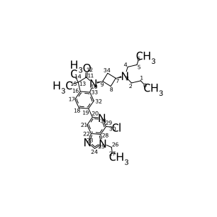 CCCN(CCC)[C@H]1C[C@@H](N2C(=O)C(C)(C)c3ccc(-c4cc5ncn(CC)c5c(Cl)n4)cc32)C1